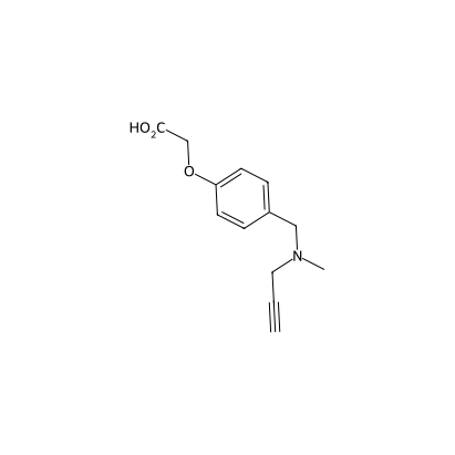 C#CCN(C)Cc1ccc(OCC(=O)O)cc1